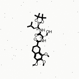 COc1cc2c(c(OC)c1OC)CC(C(=O)N[C@@H](CO)C(=O)N[C@@H](CC(C)C)B1OC(C)(C)C(C)(C)O1)CC2